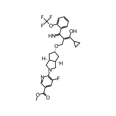 COC(=O)c1cnc(N2C[C@H]3C[C@H](OC/C(C(=N)c4ccccc4OC(F)(F)F)=C(/O)C4CC4)C[C@H]3C2)c(F)c1